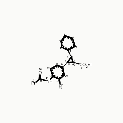 CCOC(=O)[C@@H]1[C@H](c2ccccc2)[C@H]1c1ccc(NC(=O)C(C)C)c(Br)c1